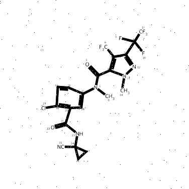 CN(C(=O)c1c(C(F)(F)F)c(C(F)(F)C(F)(F)F)nn1C)c1ccc(Cl)c(C(=O)NC2(C#N)CC2)c1